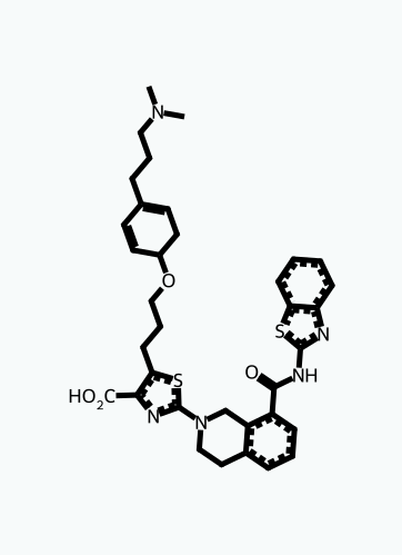 CN(C)CCCC1=CCC(OCCCc2sc(N3CCc4cccc(C(=O)Nc5nc6ccccc6s5)c4C3)nc2C(=O)O)C=C1